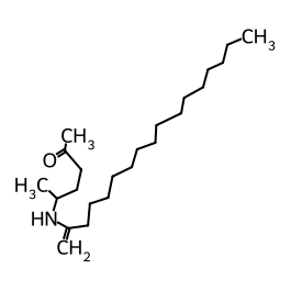 C=C(CCCCCCCCCCCCCCC)NC(C)CCC(C)=O